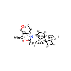 CO[C@@H]1COCC[C@@H]1N(C(=O)C(F)(F)F)[C@@H]1CC[C@@](C(=O)O)(C2(OC(C)=O)CCC2)C1